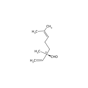 C=C[C@@](C)(C=O)CCC=C(C)C